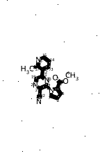 COC(=O)c1cccn1-c1nc(-c2cccnc2C)cnc1C#N